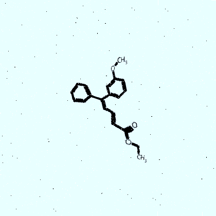 CCOC(=O)/C=C/C=C(/c1ccccc1)c1cccc(OC)c1